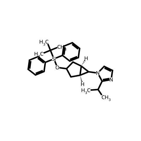 CC(C)c1nccn1C1[C@H]2CC(O[Si](c3ccccc3)(c3ccccc3)C(C)(C)C)C[C@@H]12